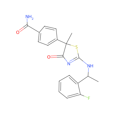 CC(NC1=NC(=O)C(C)(c2ccc(C(N)=O)cc2)S1)c1ccccc1F